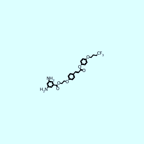 Nc1cc(N)cc(C(=O)OCCOc2ccc(C=CC(=O)Oc3ccc(OCCCC(F)(F)F)cc3)cc2)c1